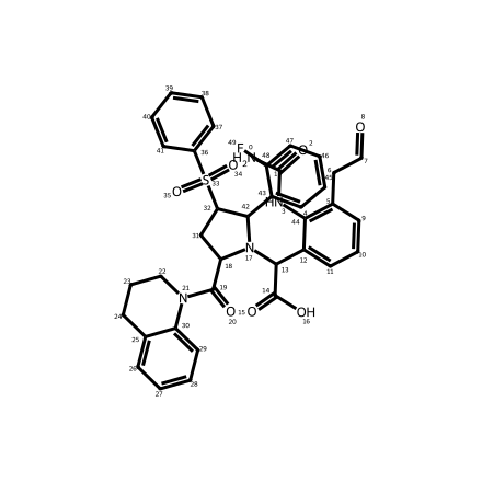 NC(=O)Nc1c(CC=O)cccc1C(C(=O)O)N1C(C(=O)N2CCCc3ccccc32)CC(S(=O)(=O)c2ccccc2)C1c1ccccc1F